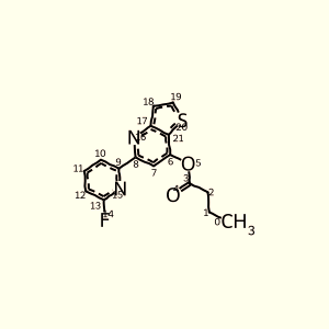 CCCC(=O)Oc1cc(-c2cccc(F)n2)nc2ccsc12